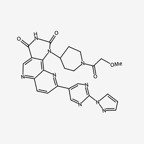 COCC(=O)N1CCC(n2c(=O)[nH]c(=O)c3cnc4ccc(-c5cnc(-n6cccn6)nc5)nc4c32)CC1